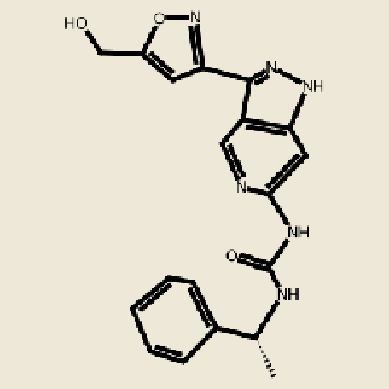 C[C@@H](NC(=O)Nc1cc2[nH]nc(-c3cc(CO)on3)c2cn1)c1ccccc1